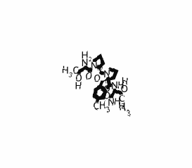 Cc1ccc(C[C@]2(C(=O)NC(C(N)=O)C(C)O)CCCN2C(=O)[C@@H]2CCCN2C(=O)C(N)C(C)O)cc1